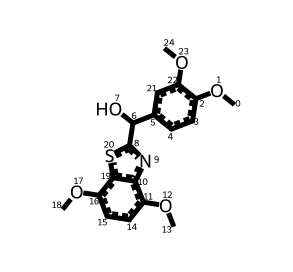 COc1ccc(C(O)c2nc3c(OC)ccc(OC)c3s2)cc1OC